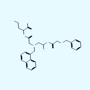 CCC(C)C(CN(CC(=O)NC(CCSC)C(=O)OC)Cc1cccc2ccccc12)NC(=O)CNCc1ccccc1